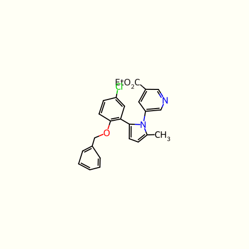 CCOC(=O)c1cncc(-n2c(C)ccc2-c2cc(Cl)ccc2OCc2ccccc2)c1